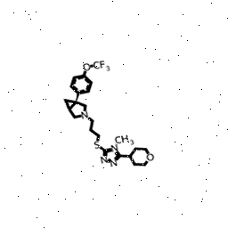 Cn1c(SCCCN2CC3C[C@]3(c3ccc(OC(F)(F)F)cc3)C2)nnc1C1CCOCC1